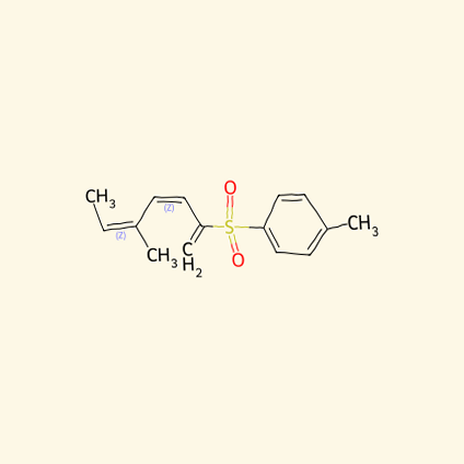 C=C(/C=C\C(C)=C/C)S(=O)(=O)c1ccc(C)cc1